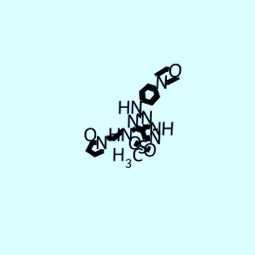 CS(=O)(=O)c1n[nH]c2nc(Nc3ccc(N4CCOCC4)cc3)nc(NCCCN3CCCC3=O)c12